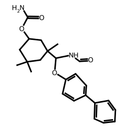 CC1(C)CC(OC(N)=O)CC(C)(C(NC=O)Oc2ccc(-c3ccccc3)cc2)C1